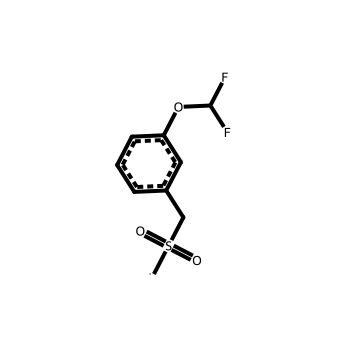 [CH2]S(=O)(=O)Cc1cccc(OC(F)F)c1